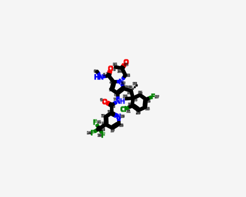 CNC(=O)c1cc(NC(=O)c2cc(C(F)(F)F)ccn2)c([C@H](C)C2(C)CC(F)=CC=C2Cl)n1CC(C)=O